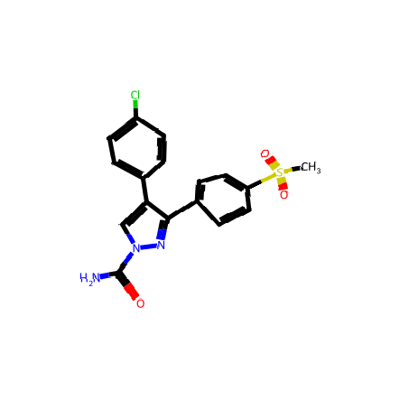 CS(=O)(=O)c1ccc(-c2nn(C(N)=O)[c]c2-c2ccc(Cl)cc2)cc1